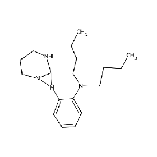 CCCCN(CCCC)c1ccccc1N1C2NCCCN21